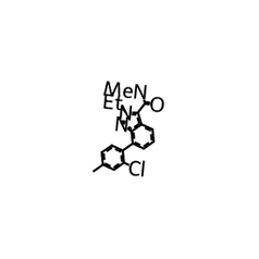 CCn1nc2c(-c3ccc(C)cc3Cl)cccc2c1C(=O)NC